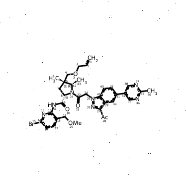 C=CCOC[C@@]1(C)C[C@@H](C(=O)Nc2nc(Br)ccc2COC)N(C(=O)Cn2nc(C(C)=O)c3cc(-c4cnc(C)nc4)ccc32)[C@@H]1C